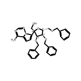 Nc1ncnn2c([C@]3(CO)O[C@H](COCc4ccccc4)[C@@H](OCc4ccccc4)[C@H]3OCc3ccccc3)ccc12